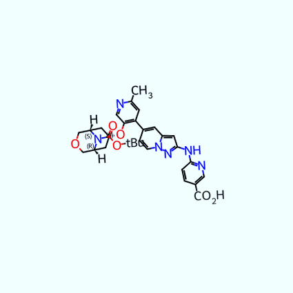 Cc1cc(-c2ccn3nc(Nc4ccc(C(=O)O)cn4)cc3c2)c(O[C@H]2C[C@H]3COC[C@@H](C2)N3C(=O)OC(C)(C)C)cn1